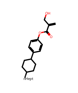 C=C(CO)C(=O)Oc1ccc(C2CCC(CCCCCCC)CC2)cc1